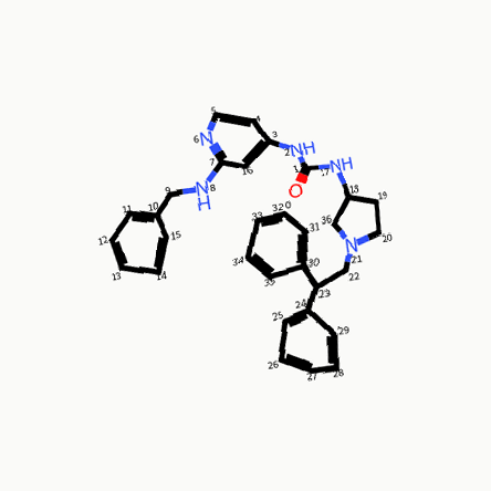 O=C(Nc1ccnc(NCc2ccccc2)c1)NC1CCN(CC(c2ccccc2)c2ccccc2)C1